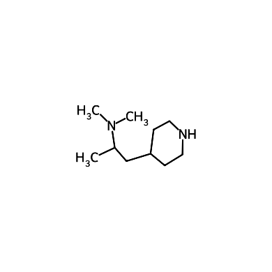 CC(CC1CCNCC1)N(C)C